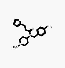 Cc1ccc(CN(C(=O)CCc2cccs2)C2CCN(C)CC2)cc1